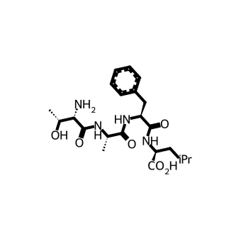 CC(C)C[C@H](NC(=O)[C@H](Cc1ccccc1)NC(=O)[C@H](C)NC(=O)[C@@H](N)[C@@H](C)O)C(=O)O